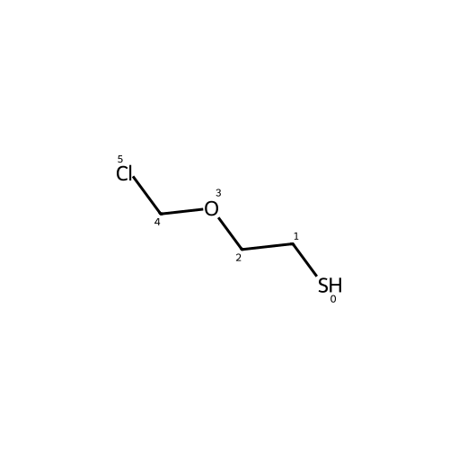 SCCOCCl